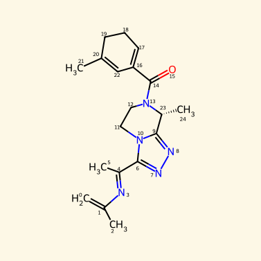 C=C(C)/N=C(\C)c1nnc2n1CCN(C(=O)C1=CCCC(C)=C1)[C@@H]2C